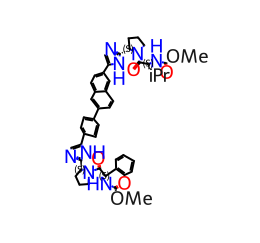 COC(=O)N[C@H](C(=O)N1CCC[C@H]1c1ncc(-c2ccc(-c3ccc4cc(-c5cnc([C@@H]6CCCN6C(=O)[C@@H](NC(=O)OC)C(C)C)[nH]5)ccc4c3)cc2)[nH]1)c1ccccc1